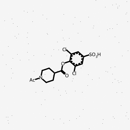 CC(=O)N1CCC(C(=O)Oc2c(Cl)cc(S(=O)(=O)O)cc2Cl)CC1